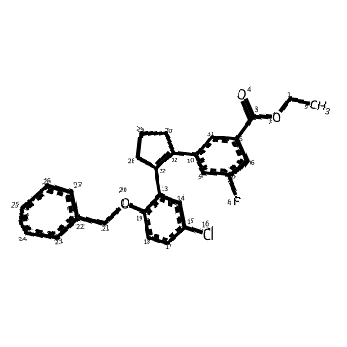 CCOC(=O)c1cc(F)cc(C2=C(c3cc(Cl)ccc3OCc3ccccc3)CCC2)c1